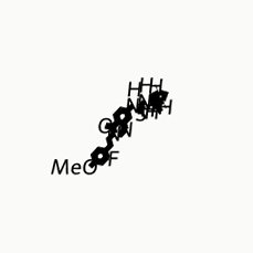 COc1ccc(CCn2cnc3cc(NC(=S)N[C@@H]4C[C@H]5C[C@@H]([C@@H]4C)C5(C)C)ccc3c2=O)c(F)c1